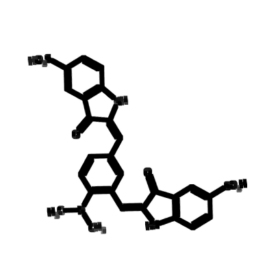 CN(C)c1ccc(C=C2Nc3ccc(S(=O)(=O)O)cc3C2=O)cc1C=C1Nc2ccc(S(=O)(=O)O)cc2C1=O